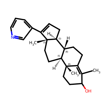 CC1=C2CC[C@@H]3[C@H](CC[C@]4(C)C(c5cccnc5)=CC[C@@H]34)[C@@]2(C)CCC1O